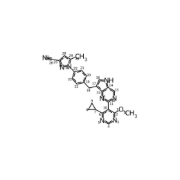 COc1ncnc(C2CC2)c1-c1ncc2[nH]cc(Cc3ccc(-n4nc(C#N)cc4C)cc3)c2n1